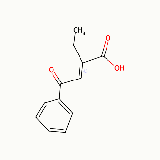 CC/C(=C\C(=O)c1ccccc1)C(=O)O